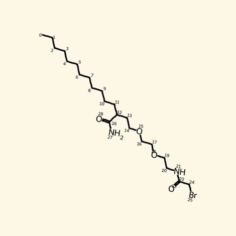 CCCCCCCCCCCCC(CCOCCOCCNC(=O)CBr)C(N)=O